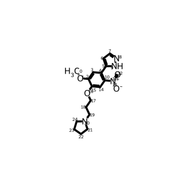 COc1cc(-c2ccn[nH]2)c([N+](=O)[O-])cc1OCCCN1CCCC1